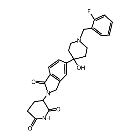 O=C1CCC(N2Cc3cc(C4(O)CCN(Cc5ccccc5F)CC4)ccc3C2=O)C(=O)N1